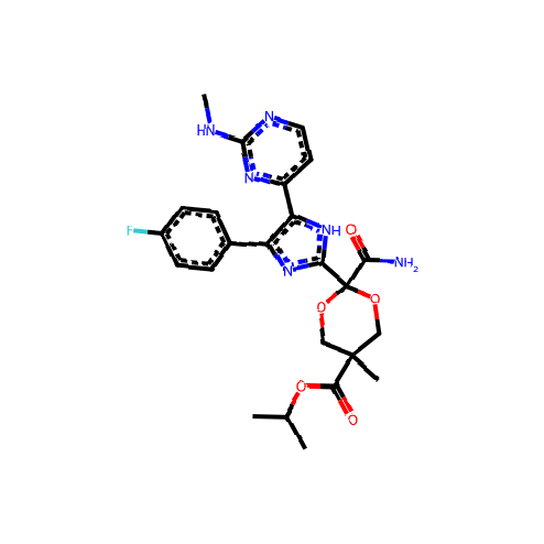 CNc1nccc(-c2[nH]c(C3(C(N)=O)OCC(C)(C(=O)OC(C)C)CO3)nc2-c2ccc(F)cc2)n1